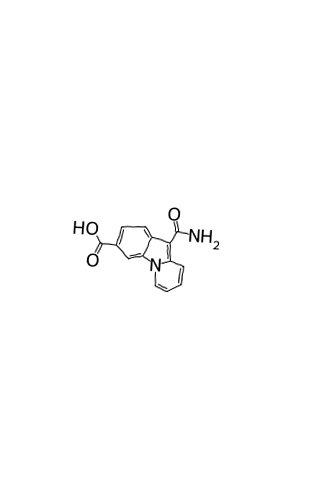 NC(=O)c1c2ccc(C(=O)O)cc2n2ccccc12